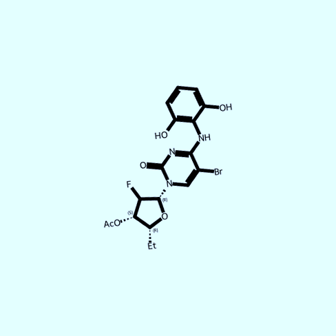 CC[C@H]1O[C@@H](n2cc(Br)c(Nc3c(O)cccc3O)nc2=O)C(F)[C@H]1OC(C)=O